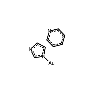 [Au][n]1ccnc1.c1ccncc1